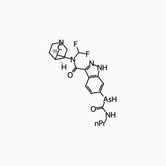 CCCNC(=O)[AsH]c1ccc2c(C(=O)N(C(F)F)[C@@H]3CN4CCC3CC4)n[nH]c2c1